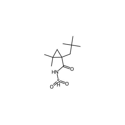 CC(C)(C)CC1(C(=O)N[SH](=O)=O)CC1(C)C